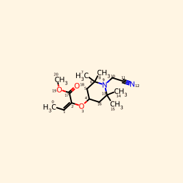 CC=C(OC1CC(C)(C)N(CC#N)C(C)(C)C1)C(=O)OC